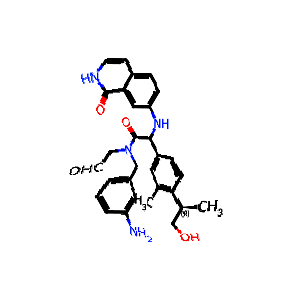 Cc1cc(C(Nc2ccc3cc[nH]c(=O)c3c2)C(=O)N(CC=O)Cc2cccc(N)c2)ccc1[C@@H](C)CO